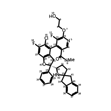 CNC(=O)c1cnc(OCCO)c(F)c1-c1c(Cl)c(F)cc2c1C[C@](c1ccccc1)(C1CCC3(Cc4ccccc4C3)N1)O2